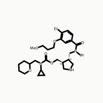 CCc1ccc(C(=O)N(C[C@@H]2CNC[C@H]2COC(=O)N(CC2CCCCO2)C2CC2)C(C)C)cc1OCCCOC